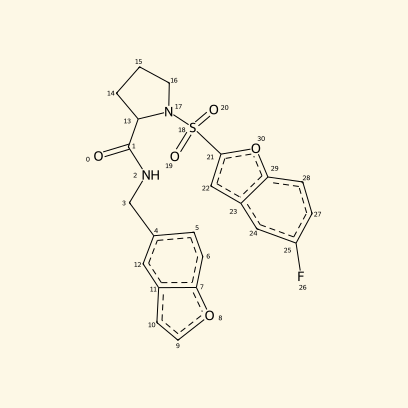 O=C(NCc1ccc2occc2c1)C1CCCN1S(=O)(=O)c1cc2cc(F)ccc2o1